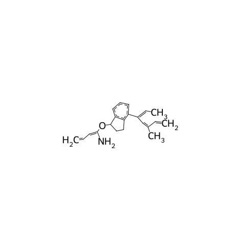 C=C/C=C(\N)OC1CCc2c(C(/C=C(/C)C=C)=C/C)cccc21